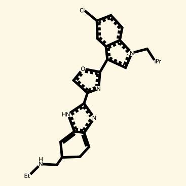 CCNCC1C=c2[nH]c(-c3coc(-c4cn(CC(C)C)c5ccc(Cl)cc45)n3)nc2=CC1